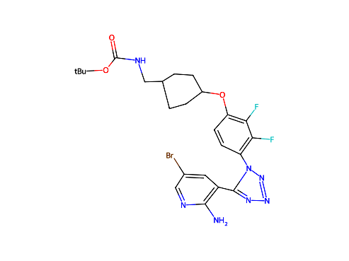 CC(C)(C)OC(=O)NCC1CCC(Oc2ccc(-n3nnnc3-c3cc(Br)cnc3N)c(F)c2F)CC1